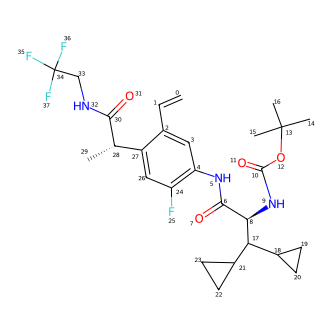 C=Cc1cc(NC(=O)[C@@H](NC(=O)OC(C)(C)C)C(C2CC2)C2CC2)c(F)cc1[C@H](C)C(=O)NCC(F)(F)F